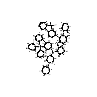 CC1(C)c2ccccc2-c2ccc(-c3c4oc5c(N(c6ccc(-c7ccccc7)cc6)c6ccc7c(c6)C(c6ccccc6)(c6ccccc6)c6ccccc6-7)cccc5c4cc4oc5ccccc5c34)cc21